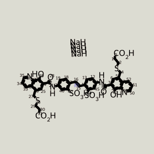 O=C(O)CCSCc1cc(C(=O)Nc2ccc(/C=C/c3ccc(NC(=O)c4cc(CSCCC(=O)O)c5cccnc5c4O)cc3S(=O)(=O)O)c(S(=O)(=O)O)c2)c(O)c2ncccc12.[NaH].[NaH].[NaH].[NaH]